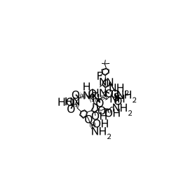 Cc1nc(-c2ccc(C(C)(C)C)cc2F)nc(N)c1C(=O)N[C@@H](CCNS(N)(=O)=O)C(=O)N(C)[C@@H]1C(=O)N[C@@H](C)C(=O)N[C@H](C(=O)O)Cc2ccc(OC[C@H](O)CN)c(c2)-c2cc1cc(OC[C@H](O)CN)c2O